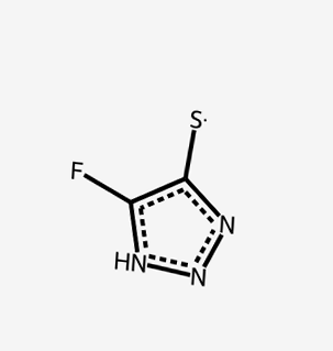 Fc1[nH]nnc1[S]